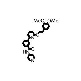 COc1ccc(CCOc2cccc(-c3cccc(C(=O)Nc4ccncc4)c3)n2)cc1OC